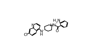 Nc1ccccc1C(=O)N[C@H]1CC[C@@H](Nc2ccnc3cc(Cl)ccc23)CC1